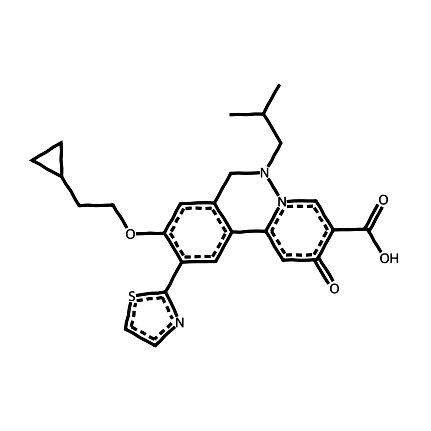 CC(C)CN1Cc2cc(OCCC3CC3)c(-c3nccs3)cc2-c2cc(=O)c(C(=O)O)cn21